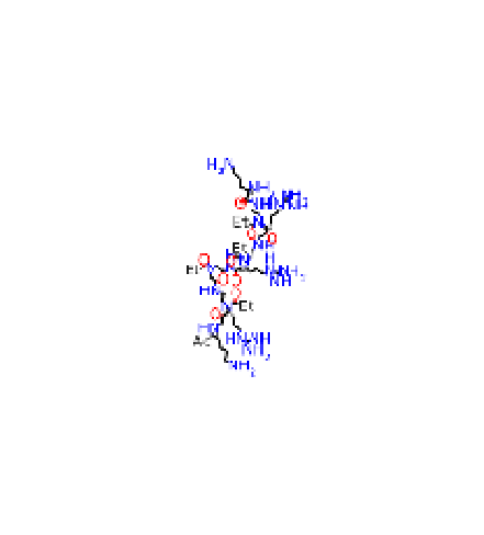 CCC(=O)N(CCNC(=O)[C@H](CCCNC(=N)N)N(CCNCC(=O)[C@H](CCCNC(=N)N)N(CCNC(=O)[C@@H](N)CCCCN)C(=O)CC)C(=O)CC)CC(=O)NCCN(C(=O)CC)[C@@H](CCCNC(=N)N)C(=O)CN[C@@H](CCCCN)C(C)=O